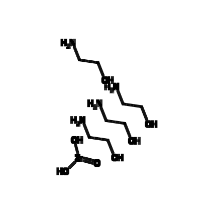 NCCO.NCCO.NCCO.NCCO.[O]=[Zr]([OH])[OH]